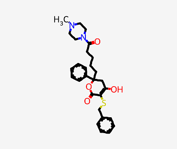 CN1CCN(C(=O)CCCCC2(c3ccccc3)CC(O)=C(SCc3ccccc3)C(=O)O2)CC1